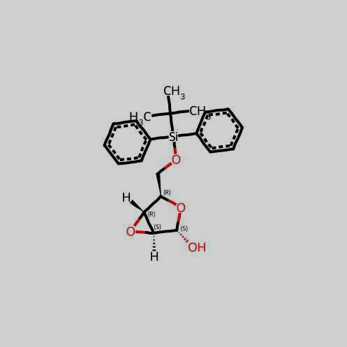 CC(C)(C)[Si](OC[C@H]1O[C@H](O)[C@H]2O[C@@H]21)(c1ccccc1)c1ccccc1